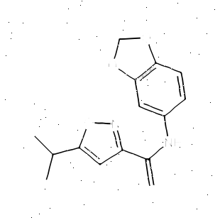 C=C(Nc1ccc2c(c1)OCO2)c1cc(C(C)C)on1